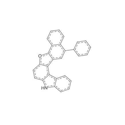 c1ccc(-c2cc3c(oc4ccc5[nH]c6ccccc6c5c43)c3ccccc23)cc1